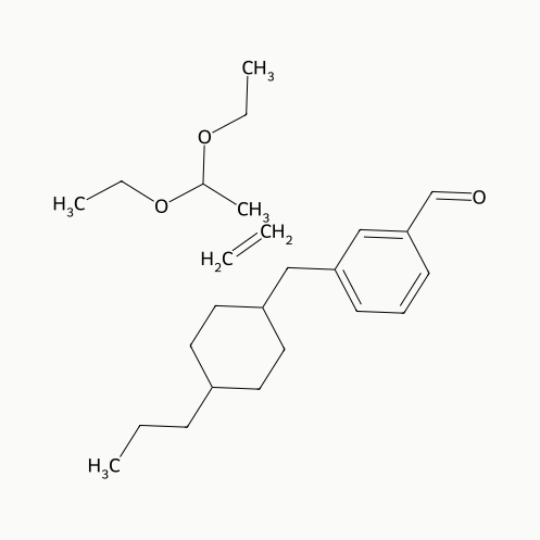 C=C.CCCC1CCC(Cc2cccc(C=O)c2)CC1.CCOC(C)OCC